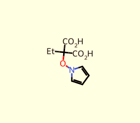 CCC(On1cccc1)(C(=O)O)C(=O)O